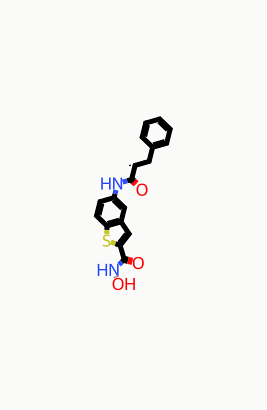 O=C([CH]Cc1ccccc1)Nc1ccc2sc(C(=O)NO)cc2c1